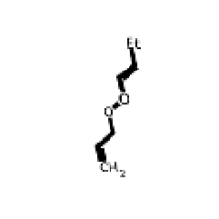 C=CCOOC=CCC